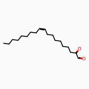 CCCCCCCC/C=C\CCCCCCCC(=O)C=O